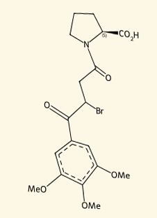 COc1cc(C(=O)C(Br)CC(=O)N2CCC[C@H]2C(=O)O)cc(OC)c1OC